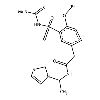 CCOc1ccc(CC(=O)NC(C)N2C=CSC2)cc1S(=O)(=O)NC(=S)NC